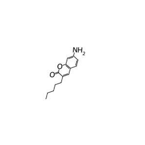 CCCCCc1cc2ccc(N)cc2oc1=O